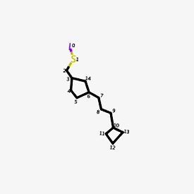 ISCC1CCC(CCCC2CCC2)C1